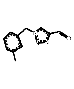 Cc1cccc(Cn2cc(C=O)nn2)c1